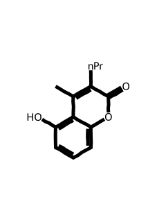 CCCc1c(C)c2c(O)cccc2oc1=O